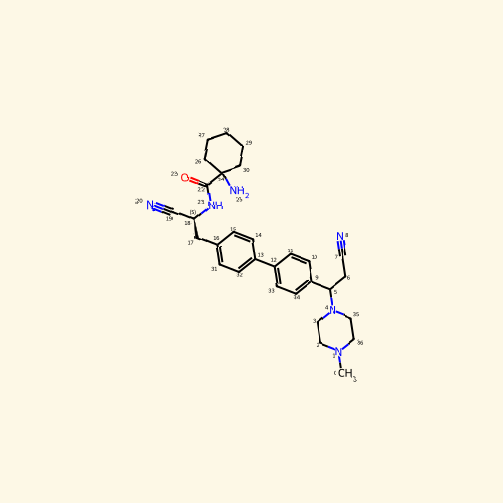 CN1CCN(C(CC#N)c2ccc(-c3ccc(C[C@@H](C#N)NC(=O)C4(N)CCCCC4)cc3)cc2)CC1